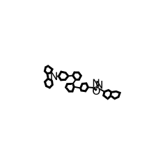 c1ccc(-c2ccccc2-c2ccc(-n3c4ccccc4c4ccccc43)cc2)c(-c2ccc(-c3nnc(-c4ccc5ccccc5c4)o3)cc2)c1